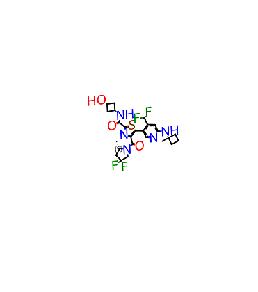 C[C@H]1CC(F)(F)CN1C(=O)c1nc(C(=O)N[C@H]2C[C@H](O)C2)sc1-c1cnc(NC2(C)CCC2)cc1C(F)F